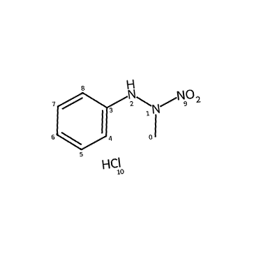 CN(Nc1ccccc1)[N+](=O)[O-].Cl